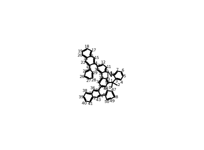 CC1(C)c2ccccc2-n2c3ccc(-c4cc5ccccc5cc4-c4ccccc4)cc3c3cc(-c4cc5ccccc5cc4-c4ccccc4)cc1c32